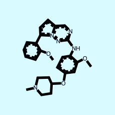 COc1cc(OC2CCN(C)CC2)ccc1Nc1ncc2ccc(-c3ccccc3OC)n2n1